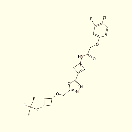 O=C(COc1ccc(Cl)c(F)c1)NC12CC(c3nnc(CO[C@H]4C[C@@H](OC(F)(F)F)C4)o3)(C1)C2